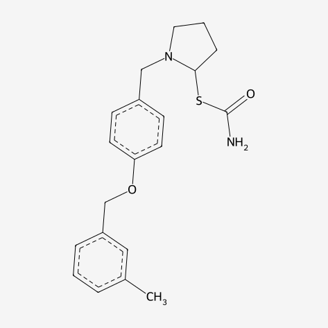 Cc1cccc(COc2ccc(CN3CCCC3SC(N)=O)cc2)c1